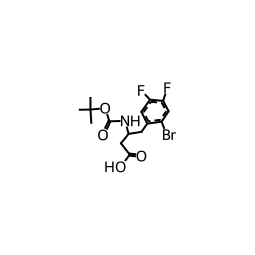 CC(C)(C)OC(=O)NC(CC(=O)O)Cc1cc(F)c(F)cc1Br